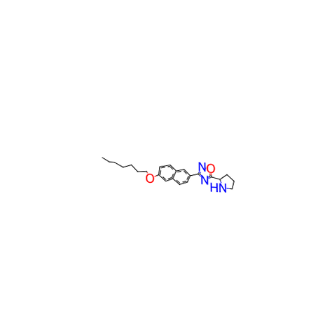 CCCCCCCOc1ccc2cc(-c3noc(C4CCCN4)n3)ccc2c1